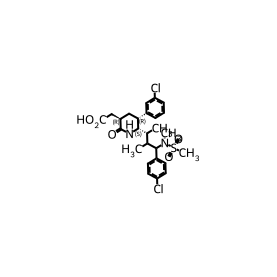 CC(C(C)[C@@H]1NC(=O)[C@@H](CC(=O)O)C[C@@H]1c1cccc(Cl)c1)C(c1ccc(Cl)cc1)N(C)S(C)(=O)=O